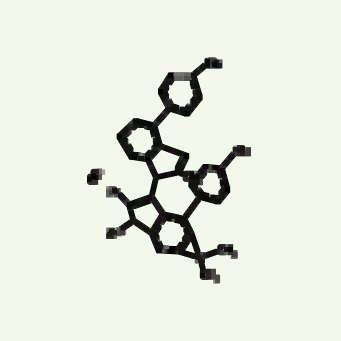 CC1=Cc2c(-c3ccc(C(C)(C)C)cc3)cccc2C1C1=C(C(C)C)[CH]([Zr+2])c2cc3c(c(-c4ccc(C(C)(C)C)cc4)c21)[Si]3(C)C.[Cl-].[Cl-]